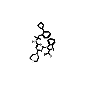 CC(C)(Cc1ccccc1C1CCCC1)Nc1nc(N2CCOCC2)nc(-n2c(C(F)F)nc3ccccc32)n1